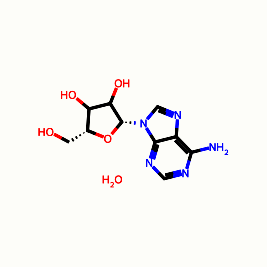 Nc1ncnc2c1ncn2[C@@H]1O[C@H](CO)C(O)C1O.O